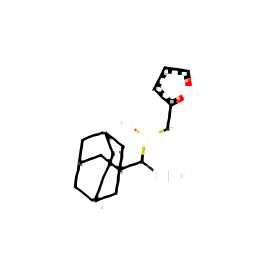 O=CC([S+]([O-])Cc1ccco1)C12CC3CC(CC(C3)C1)C2